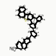 N#Cc1ccc2c(ccc3cc(-c4cccc(-c5ccc6c(c5)c5ccccc5c5ccc7c(sc8ccc9ccccc9c87)c56)c4)ccc32)c1